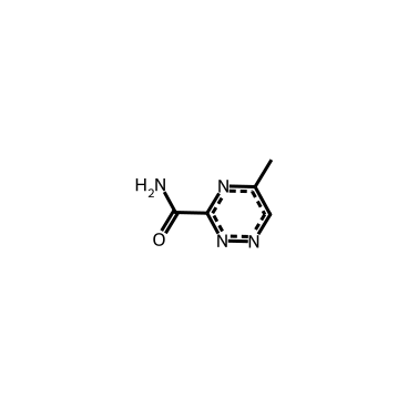 Cc1cnnc(C(N)=O)n1